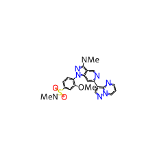 CNc1nn(-c2ccc(S(=O)(=O)NC)cc2OC)c2cc(-c3cnn4cccnc34)ncc12